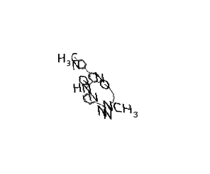 Cc1ccc(-c2cnc3c(c2)C(=O)Nc2cccc(n2)-c2nncn2C(C)CCCO3)cn1